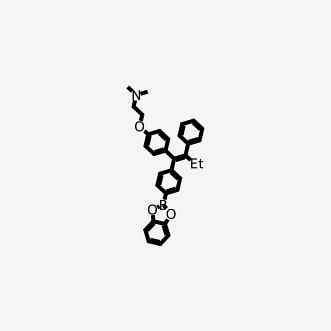 CC/C(=C(/c1ccc(OCCN(C)C)cc1)c1ccc(B2Oc3ccccc3O2)cc1)c1ccccc1